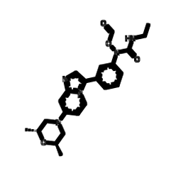 CCNC(=O)N(OC=O)c1cccc(-c2cnc3cc(N4C[C@@H](C)O[C@H](C)C4)ccn23)c1